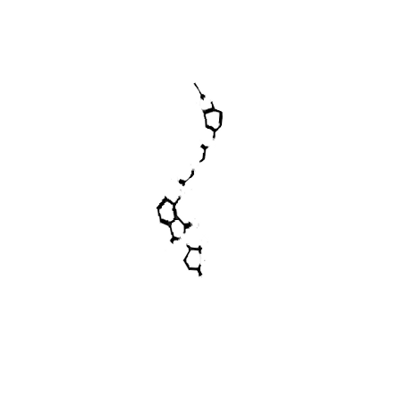 Cc1nc2cc(OC(=O)COCC(=O)Nc3cccc4c3C(=O)N(C3CCC(=O)NC3=O)C4=O)ccc2s1